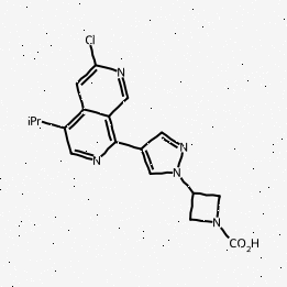 CC(C)c1cnc(-c2cnn(C3CN(C(=O)O)C3)c2)c2cnc(Cl)cc12